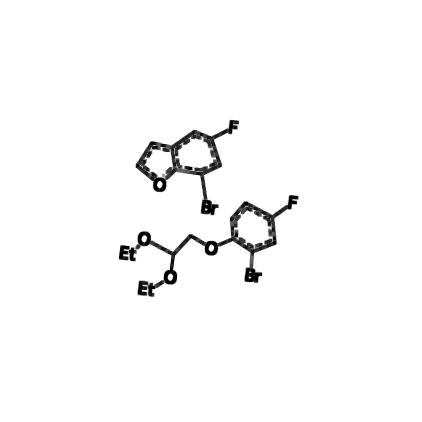 CCOC(COc1ccc(F)cc1Br)OCC.Fc1cc(Br)c2occc2c1